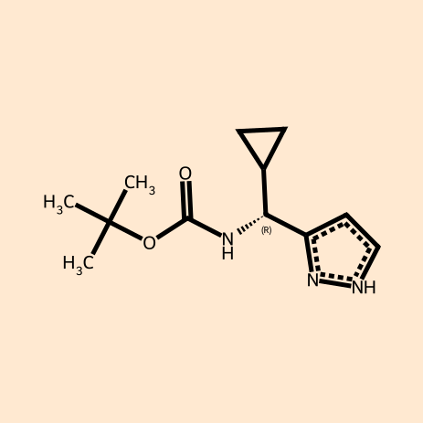 CC(C)(C)OC(=O)N[C@@H](c1cc[nH]n1)C1CC1